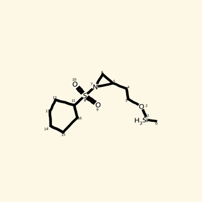 C[SiH2]OCCC1CN1S(=O)(=O)C1CCCCC1